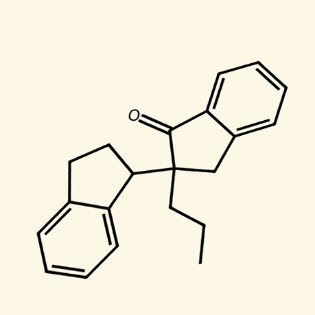 CCCC1(C2CCc3ccccc32)Cc2ccccc2C1=O